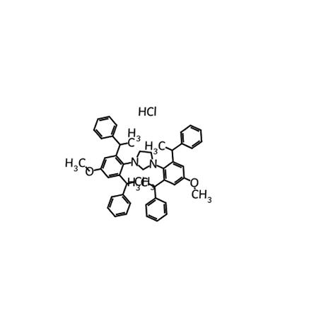 COc1cc(C(C)c2ccccc2)c(N2CCN(c3c(C(C)c4ccccc4)cc(OC)cc3C(C)c3ccccc3)C2)c(C(C)c2ccccc2)c1.Cl